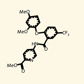 COC(=O)c1ccc(NC(=O)c2cc(C(F)(F)F)ccc2Oc2ccc(OC)cc2OC)cn1